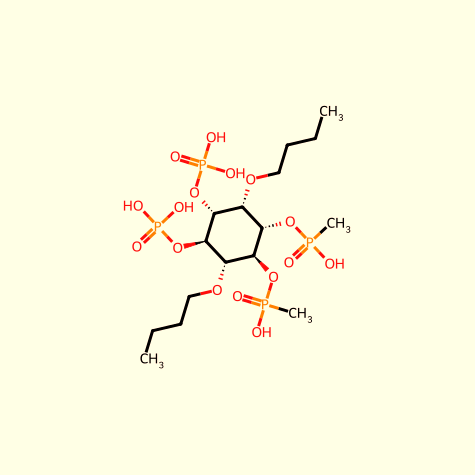 CCCCO[C@@H]1[C@H](OP(C)(=O)O)[C@@H](OP(C)(=O)O)[C@H](OCCCC)[C@@H](OP(=O)(O)O)[C@@H]1OP(=O)(O)O